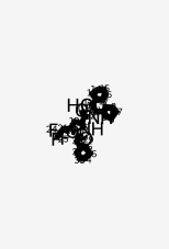 O=C(N[C@@H](c1ccccc1)[C@H](O)c1ccccc1)C(CCCC(F)(F)F)NS(=O)(=O)Cc1ccccc1